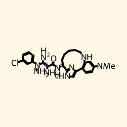 CNc1ccc2c(c1)NCCCCC[C@H](NC(=O)/C(N)=C(\N)N(N)c1cccc(Cl)c1)c1nc-2c[nH]1